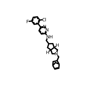 Fc1ccc(Cl)c(-c2ccc(NCC3C[C@@H]4CN(CC5CC6C=CC5C6)C[C@@H]4C3)nn2)c1